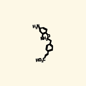 Nc1ccc(OCCc2ccc(C=CC(=O)O)cc2)c(N)c1